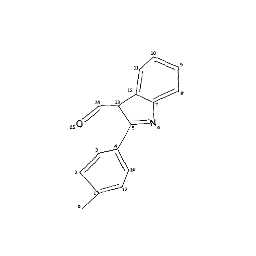 Cc1ccc(C2=Nc3ccccc3C2C=O)cc1